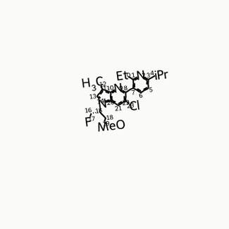 CCc1nc(C(C)C)ccc1-c1nc2c(C)cn([C@@H](CF)COC)c2cc1Cl